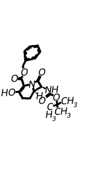 CC(C)(C)OC(=O)N[C@@H]1C(=O)N2C(C(=O)OCc3ccccc3)=C(O)CC[C@H]12